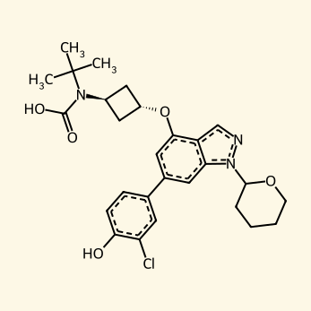 CC(C)(C)N(C(=O)O)[C@H]1C[C@H](Oc2cc(-c3ccc(O)c(Cl)c3)cc3c2cnn3C2CCCCO2)C1